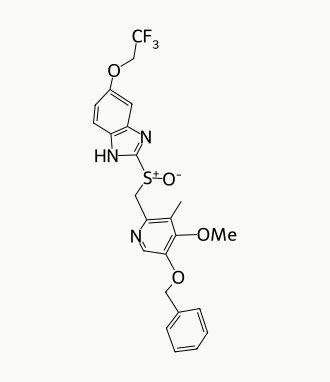 COc1c(OCc2ccccc2)cnc(C[S+]([O-])c2nc3cc(OCC(F)(F)F)ccc3[nH]2)c1C